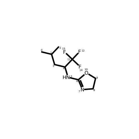 CC(C)CC(NC1=NCCO1)C(F)(F)F